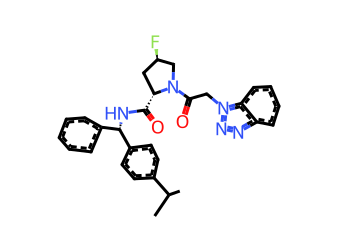 CC(C)c1ccc([C@@H](NC(=O)[C@@H]2C[C@@H](F)CN2C(=O)Cn2nnc3ccccc32)c2ccccc2)cc1